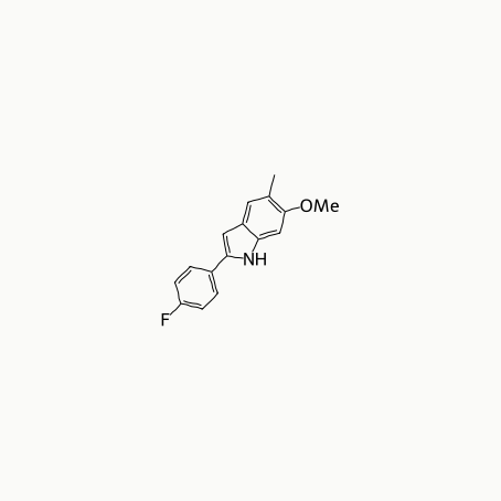 COc1cc2[nH]c(-c3ccc(F)cc3)cc2cc1C